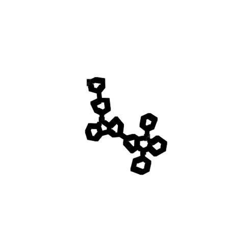 c1ccc(N2c3ccccc3N(c3ccccc3)c3cc(-c4ccc5c(c4)c4ccccc4n5-c4ccc(-c5cccnc5)cc4)ccc32)cc1